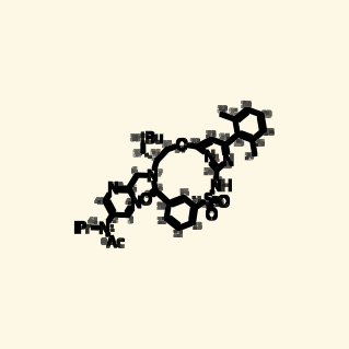 CC(=O)N(c1cnc(CN2C(=O)c3cccc(c3)S(=O)(=O)Nc3nc(cc(-c4c(C)cccc4C)n3)OC[C@H]2CC(C)(C)C)nc1)C(C)C